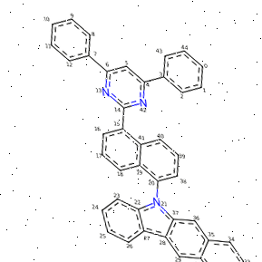 c1ccc(-c2cc(-c3ccccc3)nc(-c3cccc4c(-n5c6ccccc6c6cc7ccccc7cc65)cccc34)n2)cc1